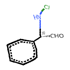 O=C[C@@H](NCl)c1ccccc1